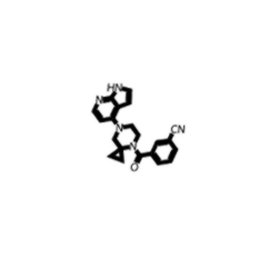 N#Cc1cccc(C(=O)N2CCN(c3ccnc4[nH]ccc34)CC23CC3)c1